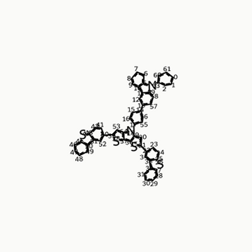 c1ccc(-n2c3ccccc3c3cc(-c4ccc(-n5c6cc(-c7ccc8sc9ccccc9c8c7)sc6c6sc(-c7ccc8sc9ccccc9c8c7)cc65)cc4)ccc32)cc1